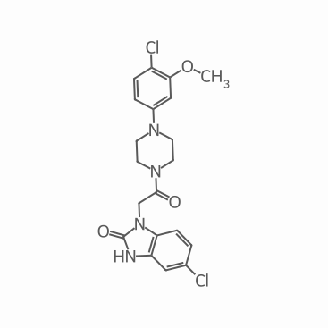 COc1cc(N2CCN(C(=O)Cn3c(=O)[nH]c4cc(Cl)ccc43)CC2)ccc1Cl